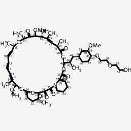 COC1C(=O)[C@H](C)C[C@H](C)/C=C/C=C/C=C(\C)C(OP)C[C@@H]2CC[C@@H](C)[C@@](O)(O2)C(=O)C(=O)N2CCCC[C@H]2C(=O)O[C@H]([C@H](C)C[C@@H]2CC[C@@H](OCCOCCO)[C@H](OC)C2)CC(=O)[C@H](C)/C=C(\C)[C@H]1O